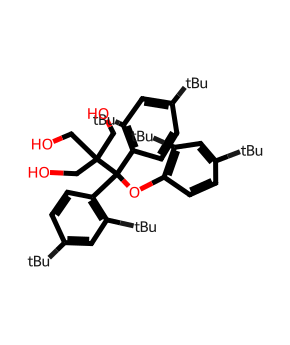 CC(C)(C)c1ccc(OC(c2ccc(C(C)(C)C)cc2C(C)(C)C)(c2ccc(C(C)(C)C)cc2C(C)(C)C)C(CO)(CO)CO)c(C(C)(C)C)c1